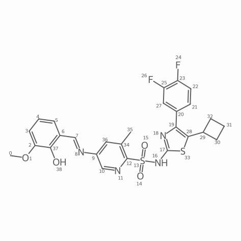 COc1cccc(/C=N/c2cnc(S(=O)(=O)Nc3nc(-c4ccc(F)c(F)c4)c(C4CCC4)s3)c(C)c2)c1O